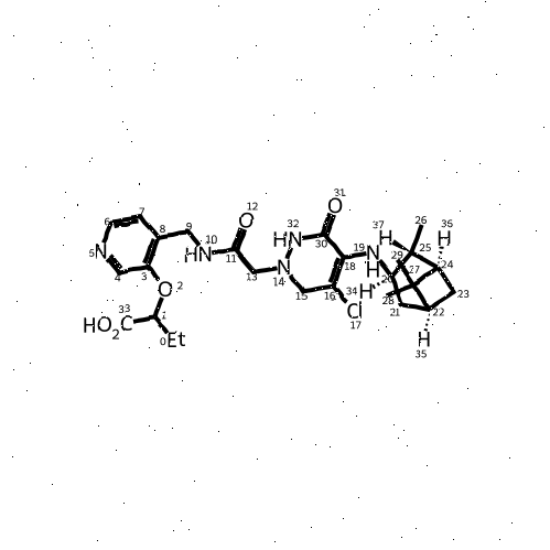 CCC(Oc1cnccc1CNC(=O)CN1CC(Cl)=C(N[C@@H]2C[C@@H]3C[C@H]([C@H]2C)C3(C)C)C(=O)N1)C(=O)O